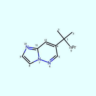 CCCC(C)(C)c1cnn2ccnc2c1